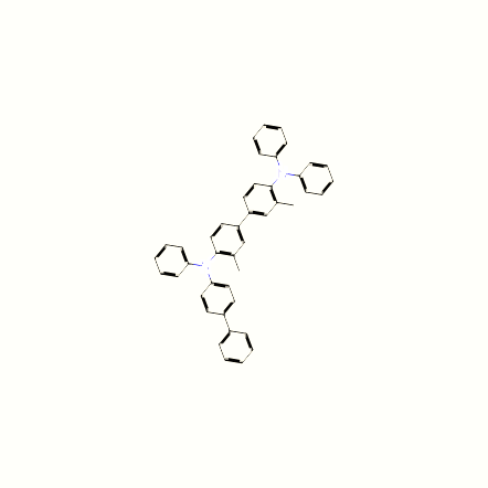 Cc1cc(-c2ccc(N(c3ccccc3)c3ccc(-c4ccccc4)cc3)c(C)c2)ccc1N(c1ccccc1)c1ccccc1